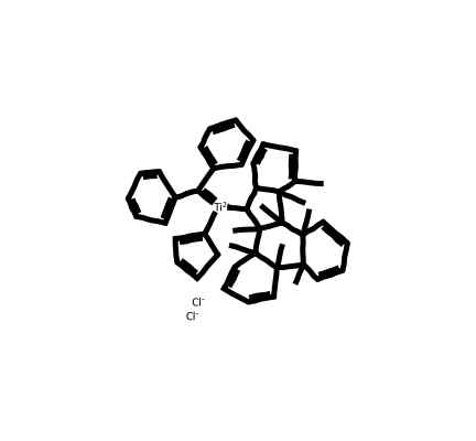 CC1=CC=CC2[CH]([Ti+2]([C]3=CC=CC3)=[C](c3ccccc3)c3ccccc3)C3(C)C4(C)C=CC=CC4(C)C4(C)C=CC=CC4(C)C3(C)C12C.[Cl-].[Cl-]